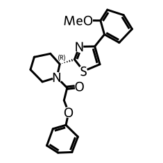 COc1ccccc1-c1csc([C@H]2CCCCN2C(=O)COc2ccccc2)n1